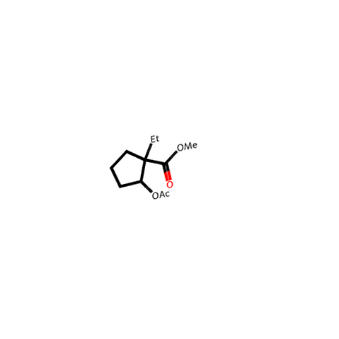 CCC1(C(=O)OC)CCCC1OC(C)=O